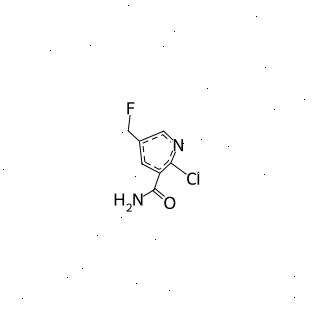 NC(=O)c1cc(CF)cnc1Cl